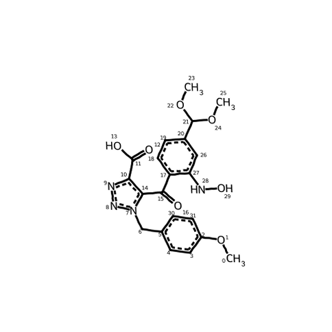 COc1ccc(Cn2nnc(C(=O)O)c2C(=O)c2ccc(C(OC)OC)cc2NO)cc1